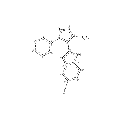 Cc1onc(-c2ccccc2)c1-c1cc2cc(F)ccc2[nH]1